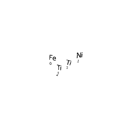 [Fe].[Ni].[Ti].[Ti]